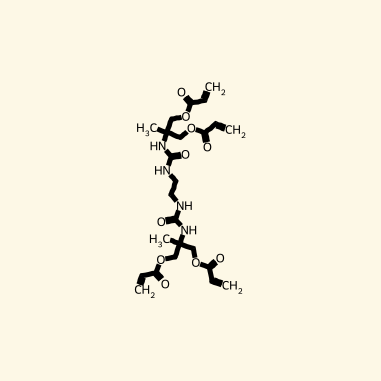 C=CC(=O)OCC(C)(COC(=O)C=C)NC(=O)NCCNC(=O)NC(C)(COC(=O)C=C)COC(=O)C=C